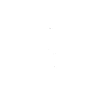 CCC1CCC2(CC1)OC(=O)C(C)S2